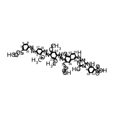 COc1cc(N=Nc2cccc(SOOO)c2)ccc1N=Nc1cc(OC)c(N=Nc2c(SOOO)cc3cc(Nc4nc(O)nc(Nc5cccc(S(=O)(=O)O)c5)n4)ccc3c2O)cc1OC